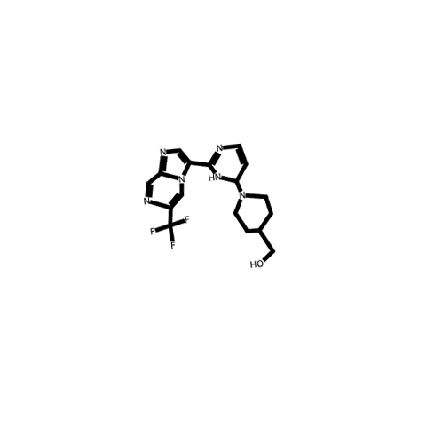 OCC1CCN(C2C=CN=C(c3cnc4cnc(C(F)(F)F)cn34)N2)CC1